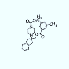 Cc1cc(C)cc(C(=O)OCC2(N3CCN(C(=O)O)CC3)Cc3ccccc3C2)c1